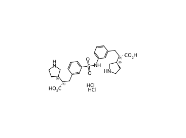 Cl.Cl.O=C(O)[C@@H](Cc1cccc(NS(=O)(=O)c2cccc(C[C@H](C(=O)O)[C@H]3CCNC3)c2)c1)[C@H]1CCNC1